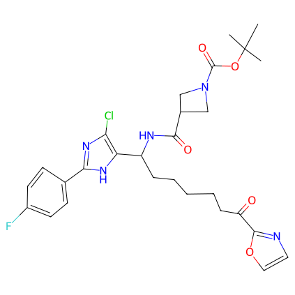 CC(C)(C)OC(=O)N1CC(C(=O)NC(CCCCCC(=O)c2ncco2)c2[nH]c(-c3ccc(F)cc3)nc2Cl)C1